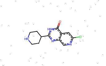 O=c1[nH]c(C2CCNCC2)nc2cnc(Cl)cc12